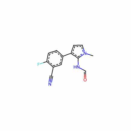 Cn1ccc(-c2ccc(F)c(C#N)c2)c1NC=O